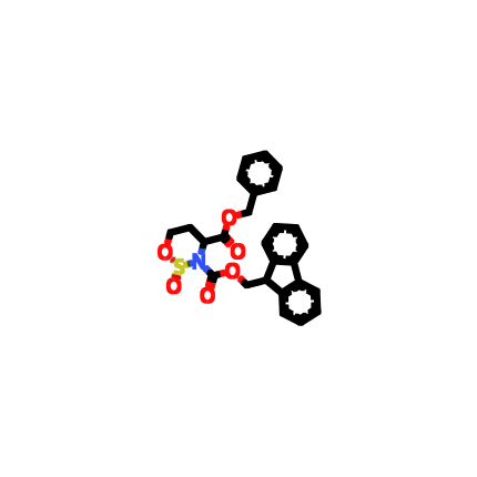 O=C(OCc1ccccc1)C1CCOS(=O)N1C(=O)OCC1c2ccccc2-c2ccccc21